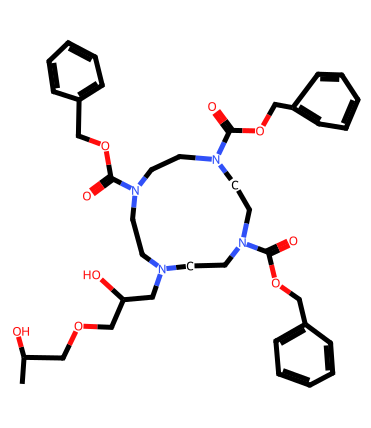 CC(O)COCC(O)CN1CCN(C(=O)OCc2ccccc2)CCN(C(=O)OCc2ccccc2)CCN(C(=O)OCc2ccccc2)CC1